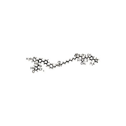 CC(=O)OC1CC(C(=O)N[C@@H](C)c2ccc(-c3scnc3C)cc2)N(C(=O)C(NC(=O)CCCCCCCCCC(=O)NCCN2CCN(Cc3cccc(-c4ccc(N5CCN(C)CC5)c(NC(=O)c5c[nH]c(=O)cc5C(F)(F)F)c4)c3)CC2)C(C)(C)C)C1